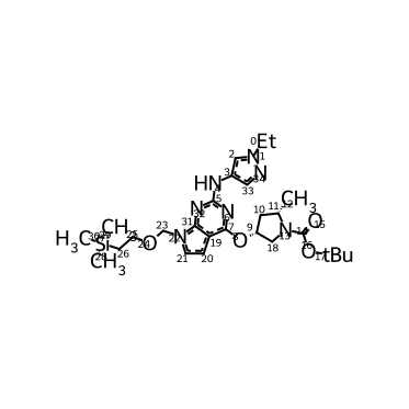 CCn1cc(Nc2nc(O[C@@H]3C[C@H](C)N(C(=O)OC(C)(C)C)C3)c3ccn(COCC[Si](C)(C)C)c3n2)cn1